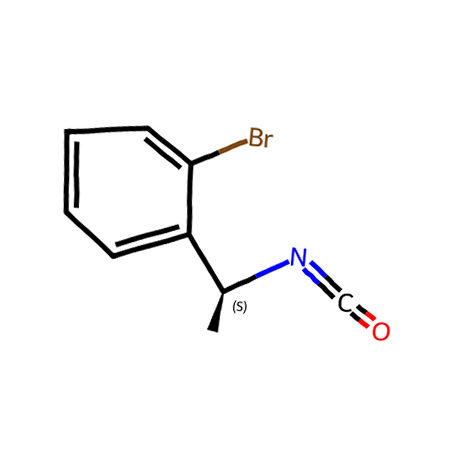 C[C@H](N=C=O)c1ccccc1Br